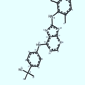 Cc1cccc(C)c1Nc1nc2c(Nc3ccc(C(C)(C)C#N)cc3)ncnc2s1